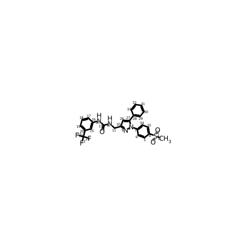 CS(=O)(=O)c1ccc(-n2nc(CNC(=O)Nc3cccc(C(F)(F)F)c3)cc2-c2ccccc2)cc1